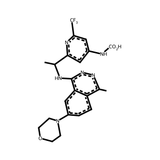 Cc1nnc(NC(C)c2cc(NC(=O)O)cc(C(F)(F)F)n2)c2cc(N3CCOCC3)ccc12